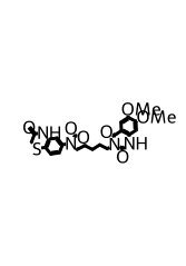 COc1cc2[nH]c(=O)n(CCCC3CN(c4ccc5c(c4)NC(=O)CS5)C(=O)O3)c(=O)c2cc1OC